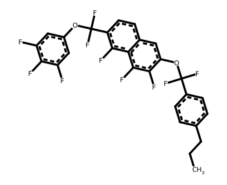 CCCc1ccc(C(F)(F)Oc2cc3ccc(C(F)(F)Oc4cc(F)c(F)c(F)c4)c(F)c3c(F)c2F)cc1